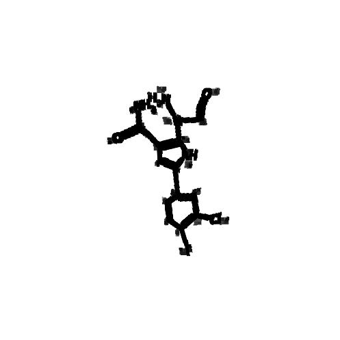 NC(=O)c1cc(-c2ccc(F)c(Cl)c2)[nH]c1N(N)C=O